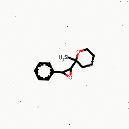 [SiH3]C1(C2OC2c2ccccc2)CCCCO1